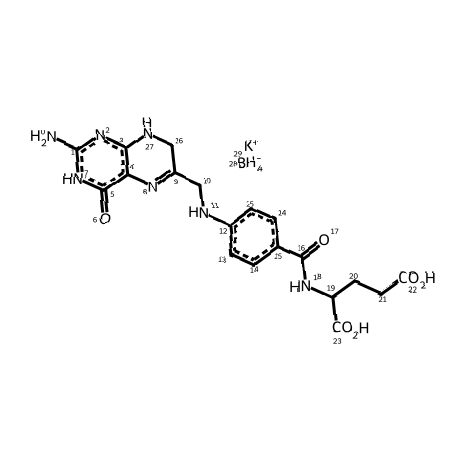 Nc1nc2c(c(=O)[nH]1)N=C(CNc1ccc(C(=O)NC(CCC(=O)O)C(=O)O)cc1)CN2.[BH4-].[K+]